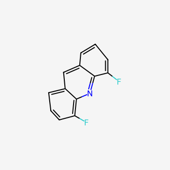 Fc1cccc2cc3cccc(F)c3nc12